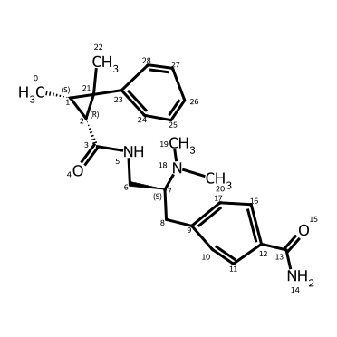 C[C@H]1[C@@H](C(=O)NC[C@H](Cc2ccc(C(N)=O)cc2)N(C)C)C1(C)c1ccccc1